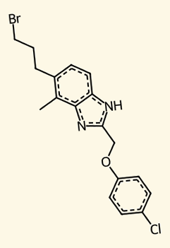 Cc1c(CCCBr)ccc2[nH]c(COc3ccc(Cl)cc3)nc12